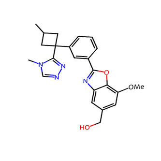 COc1cc(CO)cc2nc(-c3cccc(C4(c5nncn5C)CC(C)C4)c3)oc12